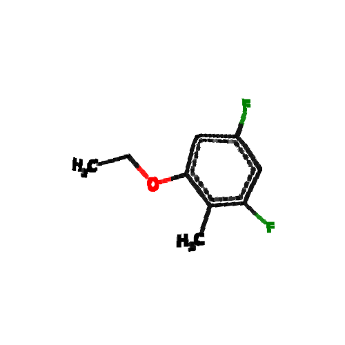 CCOc1cc(F)cc(F)c1C